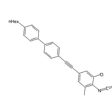 CCCCCCc1ccc(-c2ccc(C#Cc3cc(C)c(N=C=S)c(Cl)c3)cc2)cc1